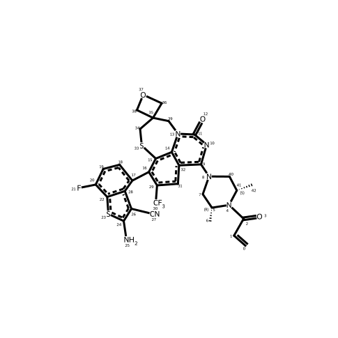 C=CC(=O)N1[C@H](C)CN(c2nc(=O)n3c4c(c(-c5ccc(F)c6sc(N)c(C#N)c56)c(C(F)(F)F)cc24)SCC2(COC2)C3)C[C@@H]1C